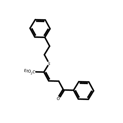 CCOC(=O)C(=CCC(=O)c1ccccc1)SCCc1ccccc1